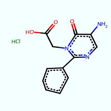 Cl.Nc1cnc(-c2ccccc2)n(CC(=O)O)c1=O